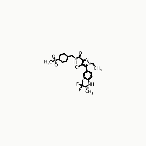 CCn1nc(C(=O)NCC2CCC(S(C)(=O)=O)CC2)c(Cl)c1-c1ccc(N[C@H](C)C(F)(F)F)cc1